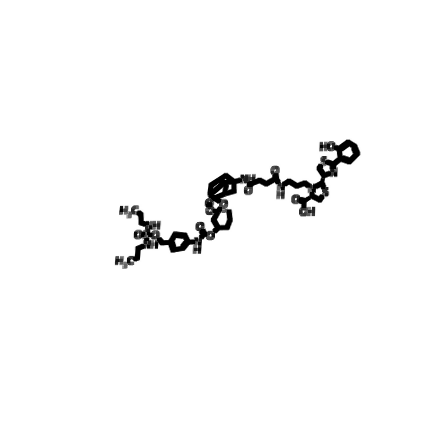 CCCNP(=O)(NCCC)OCc1ccc(NC(=O)OC2CCC[C@]3(C2)OOC2(O3)C3CC4CC2CC(NC(=O)CCC(=O)NCCCN2C([C@H]5CSC(c6ccccc6O)=N5)SC[C@H]2C(=O)O)(C4)C3)cc1